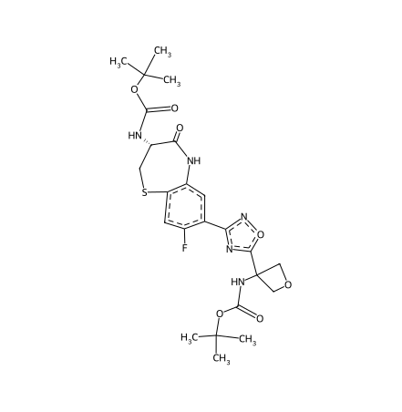 CC(C)(C)OC(=O)N[C@H]1CSc2cc(F)c(-c3noc(C4(NC(=O)OC(C)(C)C)COC4)n3)cc2NC1=O